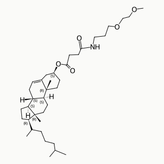 COCCOCCCNC(=O)CCC(=O)O[C@H]1CC[C@@]2(C)C(=CC[C@H]3[C@@H]4CC[C@H](C(C)CCCC(C)C)[C@@]4(C)CC[C@@H]32)C1